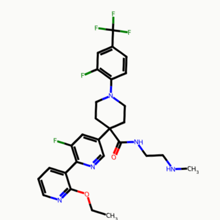 CCOc1ncccc1-c1ncc(C2(C(=O)NCCNC)CCN(c3ccc(C(F)(F)F)cc3F)CC2)cc1F